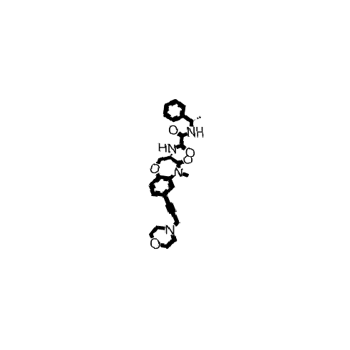 C[C@H](NC(=O)C(=O)N[C@H]1COc2ccc(C#CCN3CCOCC3)cc2N(C)C1=O)c1ccccc1